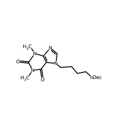 CCCCCCCCCCCCCCn1cnc2c1c(=O)n(C)c(=O)n2C